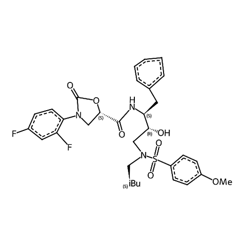 CC[C@H](C)CN(C[C@@H](O)[C@H](Cc1ccccc1)NC(=O)[C@@H]1CN(c2ccc(F)cc2F)C(=O)O1)S(=O)(=O)c1ccc(OC)cc1